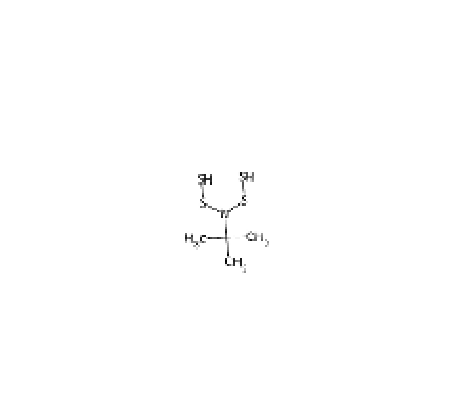 CC(C)(C)N(SS)SS